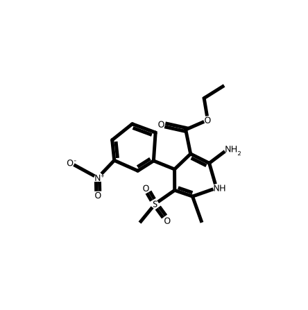 CCOC(=O)C1=C(N)NC(C)=C(S(C)(=O)=O)C1c1cccc([N+](=O)[O-])c1